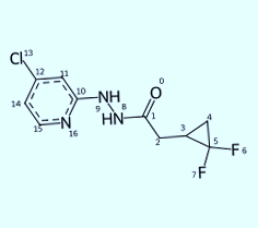 O=C(CC1CC1(F)F)NNc1cc(Cl)ccn1